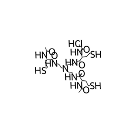 CC(=O)NC(CCS)C(=O)NCCN(CCNC(=O)C(CCS)NC(C)=O)CCNC(=O)C(CCS)NC(C)=O.Cl